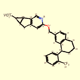 O=C(O)C1C2Cc3cc(OCc4ccc5c(c4)C(c4ccccc4C(F)(F)F)CCC5)ncc3C21